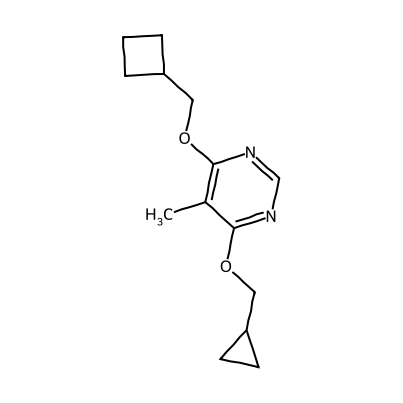 Cc1c(OCC2CCC2)ncnc1OCC1CC1